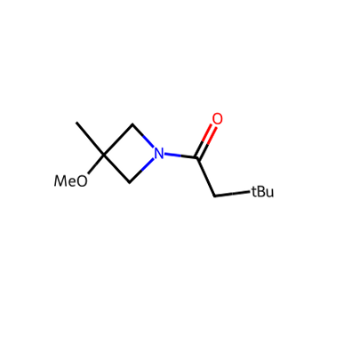 COC1(C)CN(C(=O)CC(C)(C)C)C1